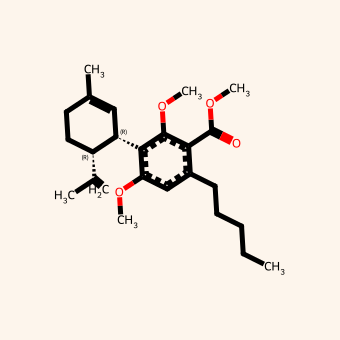 C=C(C)[C@@H]1CCC(C)=C[C@@H]1c1c(OC)cc(CCCCC)c(C(=O)OC)c1OC